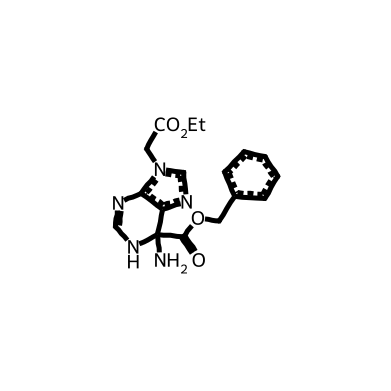 CCOC(=O)Cn1cnc2c1N=CNC2(N)C(=O)OCc1ccccc1